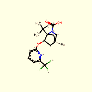 CC(C)(C)[C@@]12C[C@H](C[C@H]1Oc1cccc(C(F)(F)F)n1)CN2C(=O)O